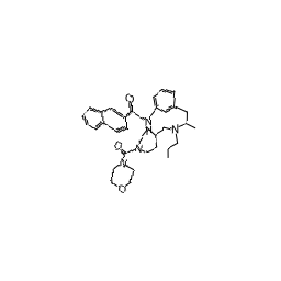 CCCN(CC1CCN(C(=O)N2CCOCC2)CC1)C(C)Cc1cccc(NC(=O)c2ccc3ccccc3c2)c1